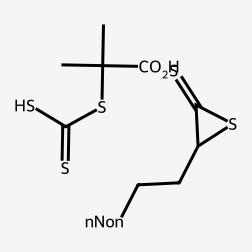 CC(C)(SC(=S)S)C(=O)O.CCCCCCCCCCCC1SC1=S